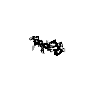 C[C@H]1C[C@@H]2CC(O)(c3nc4c(F)cc(C(=O)O)cc4s3)C[C@H]1C2OCc1c(-c2c(Cl)cccc2Cl)noc1C1CC1